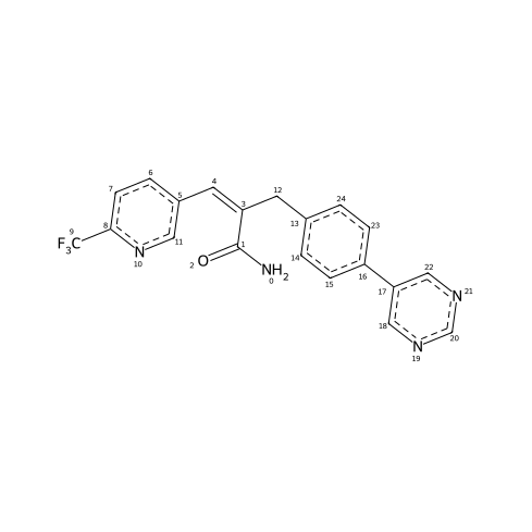 NC(=O)C(=Cc1ccc(C(F)(F)F)nc1)Cc1ccc(-c2cncnc2)cc1